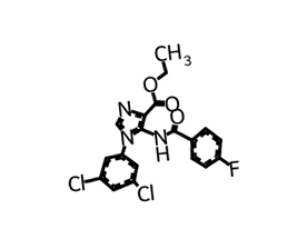 CCOC(=O)c1ncn(-c2cc(Cl)cc(Cl)c2)c1NC(=O)c1ccc(F)cc1